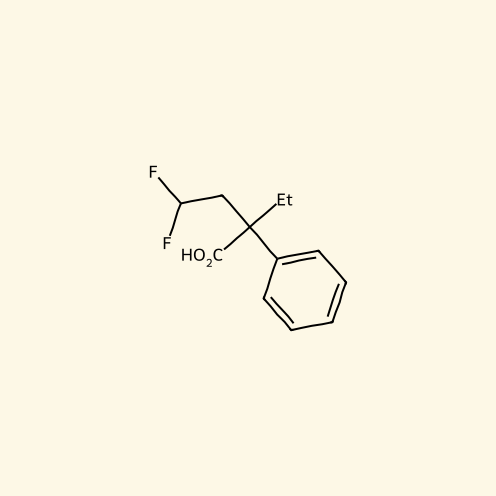 CCC(CC(F)F)(C(=O)O)c1ccccc1